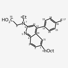 CCCCCCCCc1ccc2nc(N(CC)CC(=O)O)cc(-c3ccc(F)cc3)c2c1